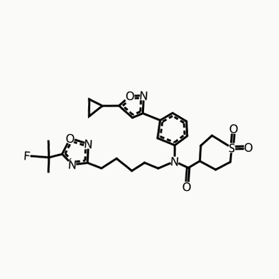 CC(C)(F)c1nc(CCCCCN(C(=O)C2CCS(=O)(=O)CC2)c2cccc(-c3cc(C4CC4)on3)c2)no1